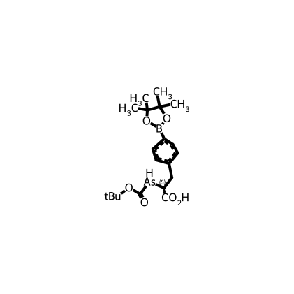 CC(C)(C)OC(=O)[AsH][C@@H](Cc1ccc(B2OC(C)(C)C(C)(C)O2)cc1)C(=O)O